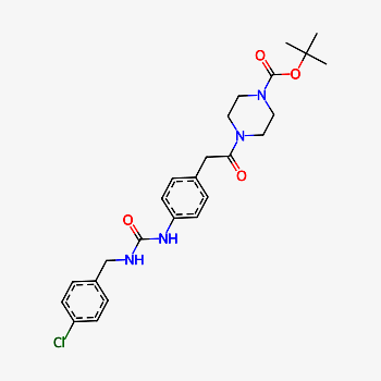 CC(C)(C)OC(=O)N1CCN(C(=O)Cc2ccc(NC(=O)NCc3ccc(Cl)cc3)cc2)CC1